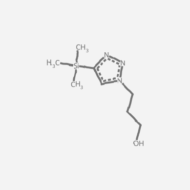 C[Si](C)(C)c1cn(CCCO)nn1